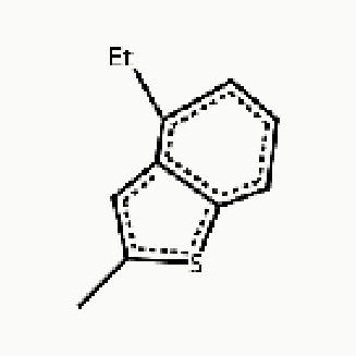 CCc1cccc2sc(C)cc12